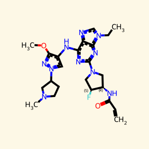 C=CC(=O)N[C@@H]1CN(c2nc(Nc3cn(C4CCN(C)C4)nc3OC)c3ncn(CC)c3n2)C[C@@H]1F